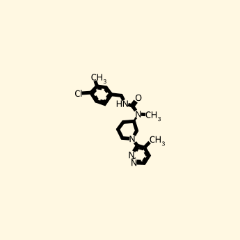 Cc1cc(CNC(=O)N(C)[C@@H]2CCCN(c3nnccc3C)C2)ccc1Cl